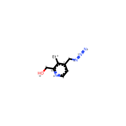 CCc1c(CN=[N+]=[N-])ccnc1CO